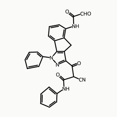 N#CC(C(=O)Nc1ccccc1)C(=O)c1nn(-c2ccccc2)c2c1Cc1c(NC(=O)C=O)cccc1-2